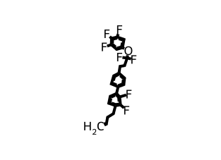 C=CCCc1ccc(-c2ccc(CCC(F)(F)Oc3cc(F)c(F)c(F)c3)cc2)c(F)c1F